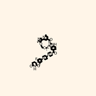 Cc1cc2cc(n1)-c1cnn(C)c1OCCC[C@@H](C)CN1/C(=N/C2=O)Nc2ccc(C(=O)N3CCN(C4CCN(c5cc(F)c([C@H]6CCC(=O)NC6=O)c(F)c5)CC4)CC3)cc21